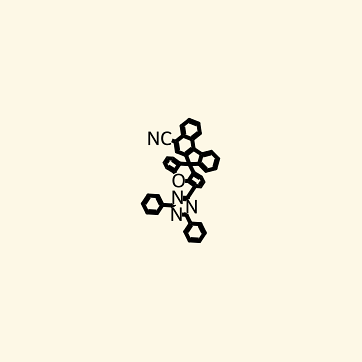 N#Cc1cc2c(c3ccccc13)-c1ccccc1C21c2ccccc2Oc2c(-c3nc(-c4ccccc4)nc(-c4ccccc4)n3)cccc21